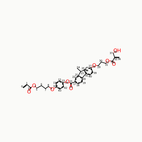 C=CC(=O)OCCCCOc1ccc(OC(=O)c2ccc3c(c2)C(C)c2cc(OCCCOC(=O)C(=C)CO)ccc2-3)cc1